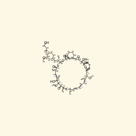 CO[C@H]1C[C@@H]2CC[C@@H](C)[C@@](O)(O2)[C@H](O)C2OC2N2CCCC[C@H]2C(=O)O[C@H]([C@H](C)C[C@@H]2CC[C@@H](OCCO)[C@H](OC)C2)CC(=O)[C@H](C)/C=C(\C)[C@@H](O)[C@@H](OC)C(=O)[C@H](C)C[C@H](C)/C=C/C=C/C=C/1C